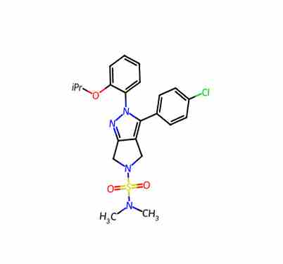 CC(C)Oc1ccccc1-n1nc2c(c1-c1ccc(Cl)cc1)CN(S(=O)(=O)N(C)C)C2